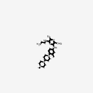 CCc1nc(C=O)c(Nc2ccc(N3CCC(N4CCN(C)CC4)CC3)c(C)c2)nc1NCCN